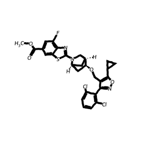 COC(=O)c1cc(F)c2nc(N3C[C@@H]4C[C@H]3C[C@@H]4OCc3c(-c4c(Cl)cccc4Cl)noc3C3CC3)sc2c1